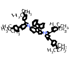 CC(C)(C)c1ccc(-c2ccc3c(c2)c(-c2ccc(C(C)(C)C)cc2)cn3-c2ccc3c(c2)C2(c4ccccc4-c4ccccc42)c2cc(-n4cc(-c5ccc(C(C)(C)C)cc5)c5cc(-c6ccc(C(C)(C)C)cc6)ccc54)ccc2-3)cc1